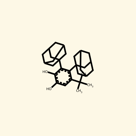 CC(C)(C)c1cc(O)c(O)c(C23CC4CC(CC(C4)C2)C3)c1C12CC3CC(CC(C3)C1)C2